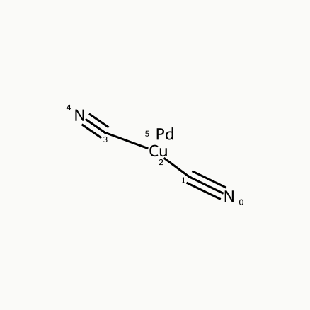 N#[C][Cu][C]#N.[Pd]